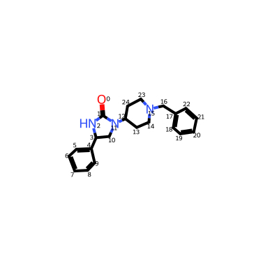 O=C1NC(c2ccccc2)CN1C1CCN(Cc2ccccc2)CC1